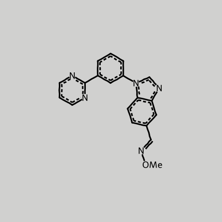 CON=Cc1ccc2c(c1)ncn2-c1cccc(-c2ncccn2)c1